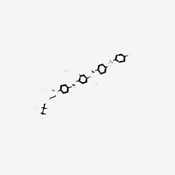 COc1cc(/N=N/c2ccc(N(C)CCOC(=O)C(C)(C(C)(C)C)C(C)(C)N)cc2)c(OC)cc1/N=N/c1ccc(/N=N/c2ccc([N+](=O)[O-])cc2)cc1